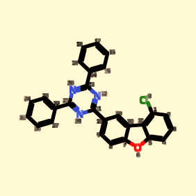 Clc1cccc2oc3ccc(-c4nc(-c5ccccc5)nc(-c5ccccc5)n4)cc3c12